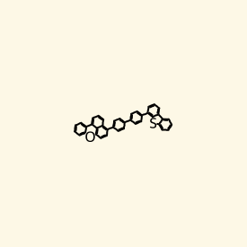 c1ccc2c(c1)Oc1ccc(-c3ccc(-c4ccc(-c5cccc6c5sc5ccccc56)cc4)cc3)c3cccc-2c13